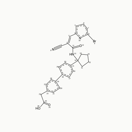 N#CC(=Cc1cccc(Br)n1)C(=O)NC1(c2ccc(-c3ccc(CC(=O)O)cc3)cc2)CCCC1